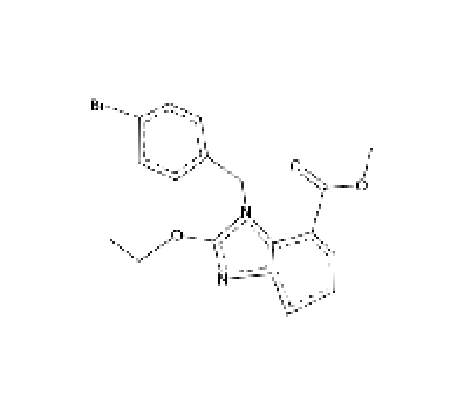 CCOc1nc2cccc(C(=O)OC)c2n1Cc1ccc(Br)cc1